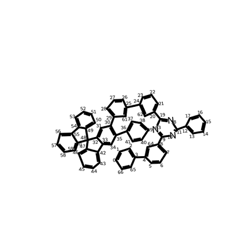 c1ccc(-c2cccc(-c3nc(-c4ccccc4)nc(-c4cccc(-c5cccc(-c6cc7c(cc6-c6ccccc6)-c6ccccc6C76c7ccccc7-c7ccccc76)c5)c4)n3)c2)cc1